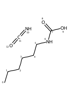 CCCCCCNC(=O)O.N=C=O